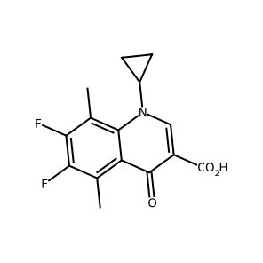 Cc1c(F)c(F)c(C)c2c1c(=O)c(C(=O)O)cn2C1CC1